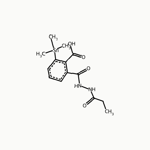 CCC(=O)NNC(=O)c1ccc[c]([Sn]([CH3])([CH3])[CH3])c1C(=O)O